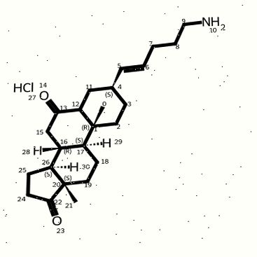 C[C@]12CC[C@H](C=CCCCN)CC1C(=O)C[C@@H]1[C@@H]2CC[C@]2(C)C(=O)CC[C@@H]12.Cl